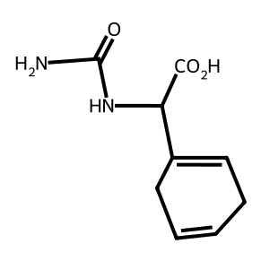 NC(=O)NC(C(=O)O)C1=CCC=CC1